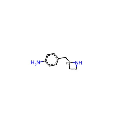 Nc1ccc(C[C@@H]2CCN2)cc1